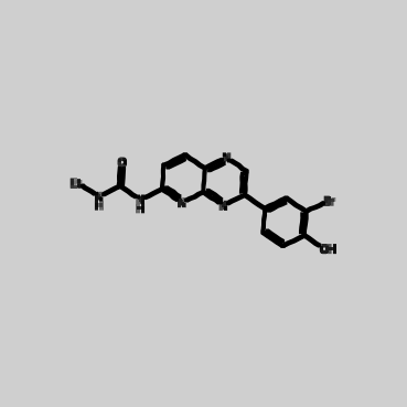 CCNC(=O)Nc1ccc2ncc(-c3ccc(O)c(Br)c3)nc2n1